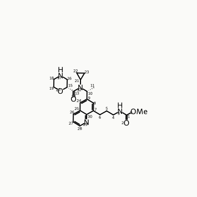 COC(=O)NCCCc1cc([C@@H](C)N(C(=O)[C@H]2CNCCO2)C2CC2)cc2cccnc12